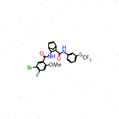 COc1cc(F)c(Br)cc1C(=O)NC1C2C=CC(C2)C1C(=O)Nc1cccc(SC(F)(F)F)c1